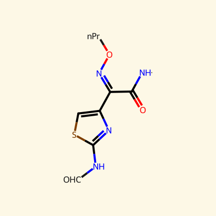 CCCON=C(C([NH])=O)c1csc(NC=O)n1